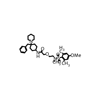 COc1cc(C)c(S(=O)(=O)N(C)CCOCC(=O)NC2CCC(Cc3ccccc3)(N3CCCCC3)CC2)c(C)c1